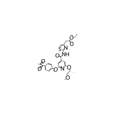 CCOC(=O)Cc1csc(NC(=O)c2cc(Oc3ccc(S(C)(=O)=O)cc3)nc(O[C@H](C)COC)c2)n1